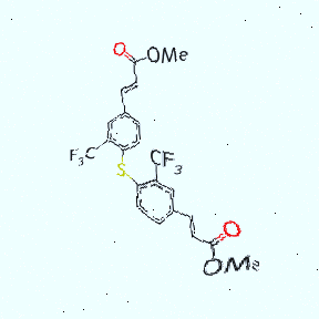 COC(=O)C=Cc1ccc(Sc2ccc(C=CC(=O)OC)cc2C(F)(F)F)c(C(F)(F)F)c1